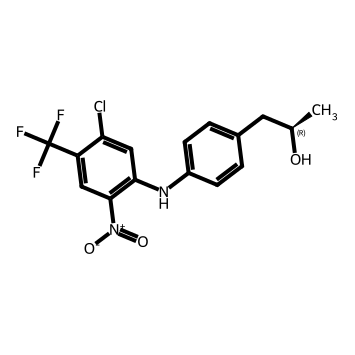 C[C@@H](O)Cc1ccc(Nc2cc(Cl)c(C(F)(F)F)cc2[N+](=O)[O-])cc1